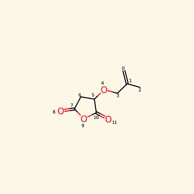 C=C(C)COC1CC(=O)OC1=O